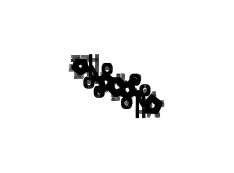 O=C(NC1CCCC1)C1C(=O)c2cc3c(cc2C1=O)C(=O)C(C(=O)NC1CCCC1)C3=O